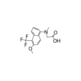 COc1ccc2c(N(C)CC(=O)O)cccc2c1C(F)(F)F